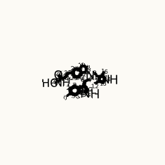 Cc1ccc2c(CCN(Cc3c(C)c[nH]c3C)C3CCc4cc(C=CC(=O)NO)ccc43)c[nH]c2c1